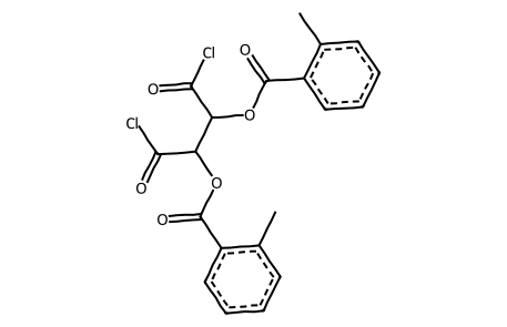 Cc1ccccc1C(=O)OC(C(=O)Cl)C(OC(=O)c1ccccc1C)C(=O)Cl